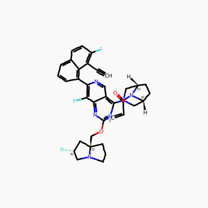 C#Cc1c(F)ccc2cccc(-c3ncc4c(N5C[C@H]6CC[C@@H](C5)N6C(=O)C=C)nc(OC[C@@]56CCCN5C[C@H](F)C6)nc4c3F)c12